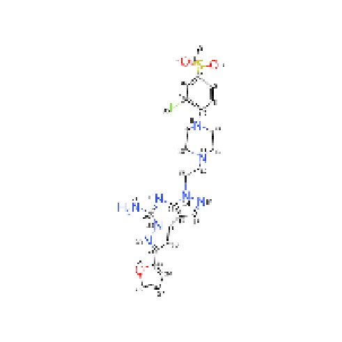 CS(=O)(=O)c1ccc(N2CCN(CCn3ncc4c3nc(N)n3nc(-c5ccco5)cc43)CC2)c(F)c1